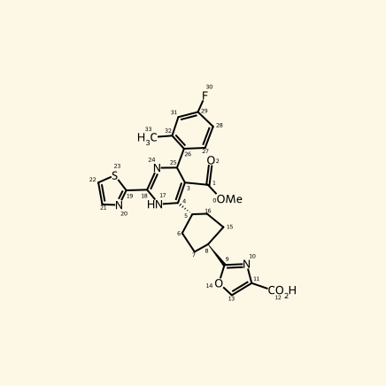 COC(=O)C1=C([C@H]2CC[C@H](c3nc(C(=O)O)co3)CC2)NC(c2nccs2)=NC1c1ccc(F)cc1C